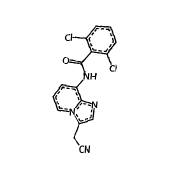 N#CCc1cnc2c(NC(=O)c3c(Cl)cccc3Cl)cccn12